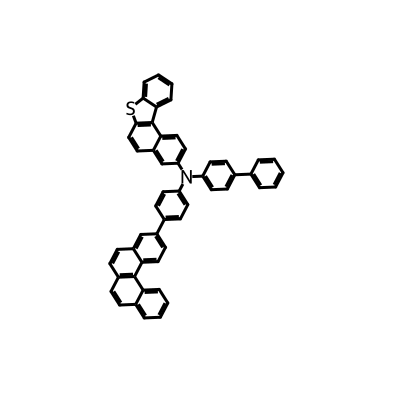 c1ccc(-c2ccc(N(c3ccc(-c4ccc5c(ccc6ccc7ccccc7c65)c4)cc3)c3ccc4c(ccc5sc6ccccc6c54)c3)cc2)cc1